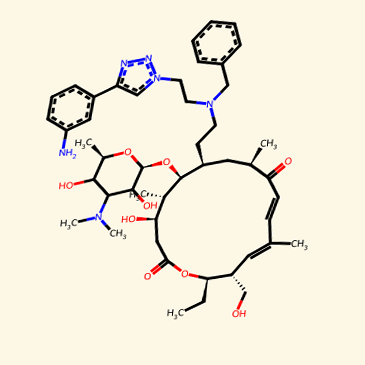 CC[C@H]1OC(=O)C[C@@H](O)[C@H](C)[C@@H](O[C@@H]2O[C@H](C)C(O)C(N(C)C)C2O)[C@@H](CCN(CCn2cc(-c3cccc(N)c3)nn2)Cc2ccccc2)C[C@@H](C)C(=O)/C=C/C(C)=C/[C@@H]1CO